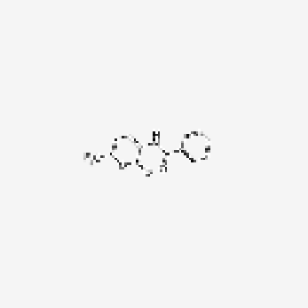 O=C(Nc1ccc(C(F)(F)F)oc1=O)c1ccccc1